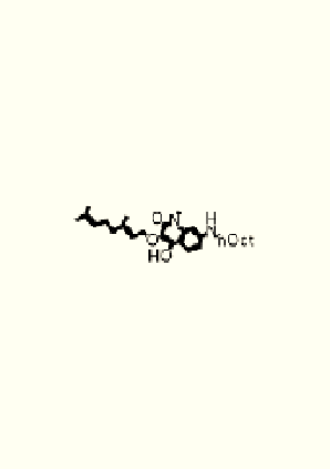 CCCCCCCCNc1ccc2c(O)c(OC/C=C(\C)CCC=C(C)C)c(=O)n(C)c2c1